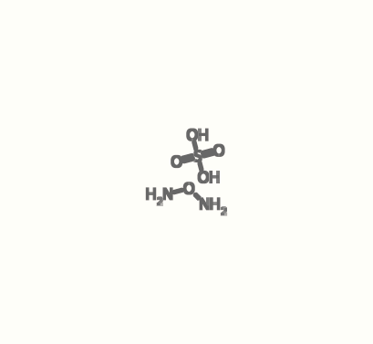 NON.O=S(=O)(O)O